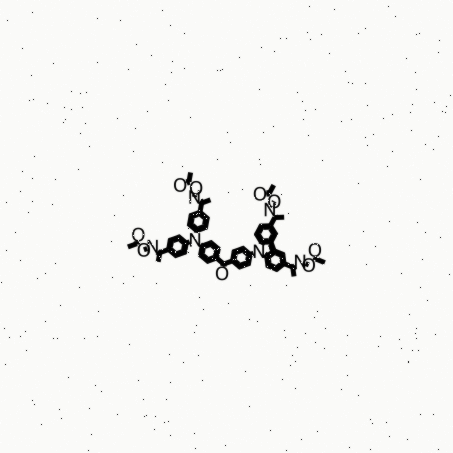 CC(=O)ON=C(C)c1ccc(N(c2ccc(C(=O)c3ccc(-n4c5ccc(C(C)=NOC(C)=O)cc5c5cc(C(C)=NOC(C)=O)ccc54)cc3)cc2)c2ccc(/C(C)=N/OC(C)=O)cc2)cc1